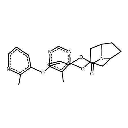 C=CCOC(=O)N1C2CCC1CC(Oc1ncnc(Oc3cccnc3C)c1C)C2